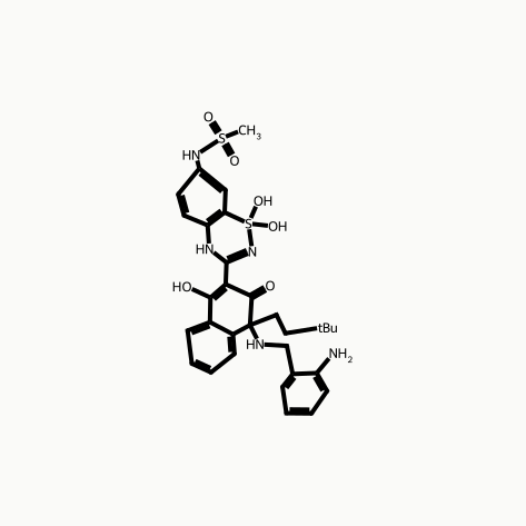 CC(C)(C)CCC1(NCc2ccccc2N)C(=O)C(C2=NS(O)(O)c3cc(NS(C)(=O)=O)ccc3N2)=C(O)c2ccccc21